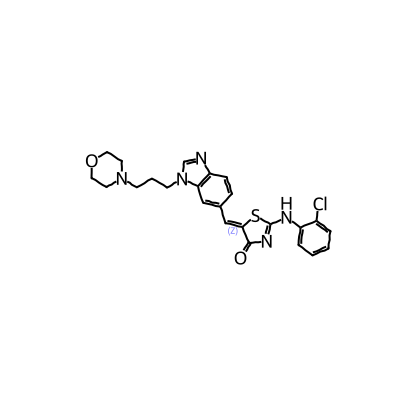 O=C1N=C(Nc2ccccc2Cl)S/C1=C\c1ccc2ncn(CCCN3CCOCC3)c2c1